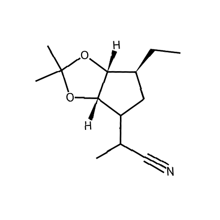 CC[C@H]1CC(C(C)C#N)[C@@H]2OC(C)(C)O[C@H]12